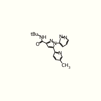 Cc1ccc(-c2cc(C(=O)NC(C)(C)C)nn2-c2cccnn2)nc1